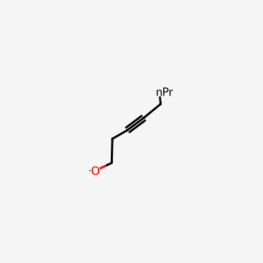 CCCCC#CCC[O]